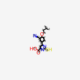 CC(C)CCOc1ccc(-c2cc(C(=O)O)nc(S)n2)cc1C#N